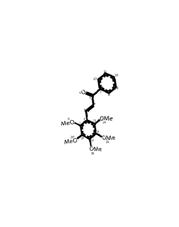 COc1c(C=CC(=O)c2ccccc2)c(OC)c(OC)c(OC)c1OC